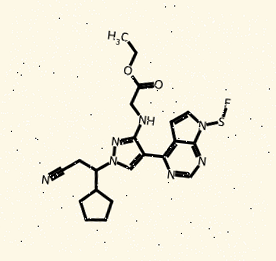 CCOC(=O)CNc1nn(C(CC#N)C2CCCC2)cc1-c1ncnc2c1ccn2SF